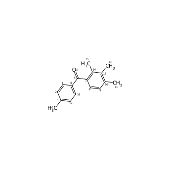 Cc1ccc(C(=O)c2ccc(C)c(C)c2C)cc1